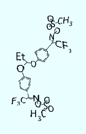 CCC(Oc1ccc(C(=NOS(C)(=O)=O)C(F)(F)F)cc1)Oc1ccc(C(=NOS(C)(=O)=O)C(F)(F)F)cc1